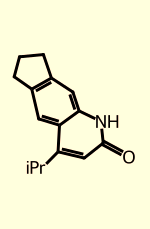 CC(C)c1cc(=O)[nH]c2cc3c(cc12)CCC3